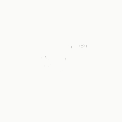 CC(C)(C)[Si](C)(C)OC[C@H]1CC(=O)[C@@H]1CO[Si](C)(C)C(C)(C)C